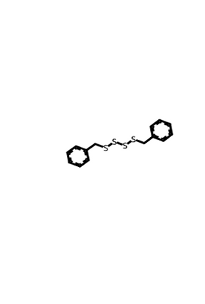 c1ccc(CSSSSCc2ccccc2)cc1